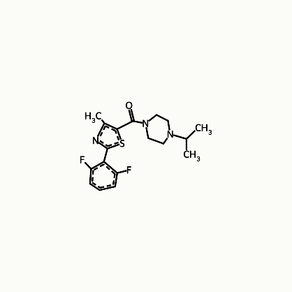 Cc1nc(-c2c(F)cccc2F)sc1C(=O)N1CCN(C(C)C)CC1